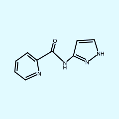 O=C(Nc1cc[nH]n1)c1ccccn1